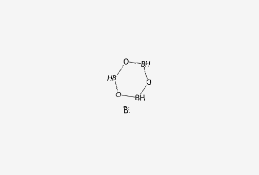 B1OBOBO1.[B]